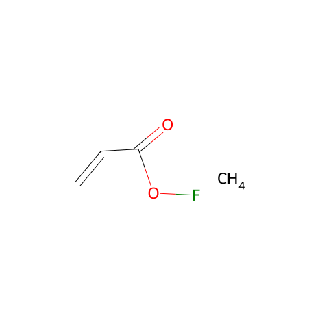 C.C=CC(=O)OF